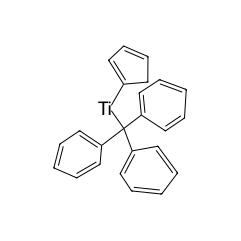 C1=CC[C]([Ti][C](c2ccccc2)(c2ccccc2)c2ccccc2)=C1